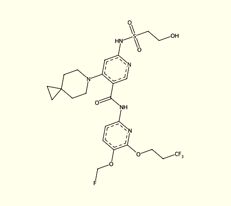 O=C(Nc1ccc(OCF)c(OCCC(F)(F)F)n1)c1cnc(NS(=O)(=O)CCO)cc1N1CCC2(CC1)CC2